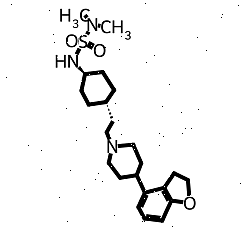 CN(C)S(=O)(=O)N[C@H]1CC[C@H](CCN2CCC(c3cccc4c3CCO4)CC2)CC1